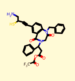 NCC(S)C#Cc1ccc2c(c1)C(=O)N(C(CC(=O)OC(=O)C(F)(F)F)c1ccccc1)CC(=O)N2Cc1ccccc1